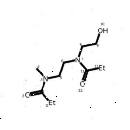 CCC(=O)N(C)CCN(CCO)C(=O)CC